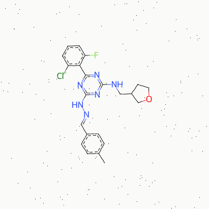 Cc1ccc(C=NNc2nc(NCC3CCOC3)nc(-c3c(F)cccc3Cl)n2)cc1